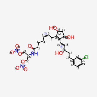 O=C(CCC/C=C\C[C@@H]1[C@@H](/C=C/[C@@H](O)CCc2cccc(Cl)c2)[C@H](O)C[C@@H]1O)NC(CO[N+](=O)[O-])CO[N+](=O)[O-]